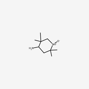 CC1(C)C[NH+]([O-])C(C)(C)CC1N